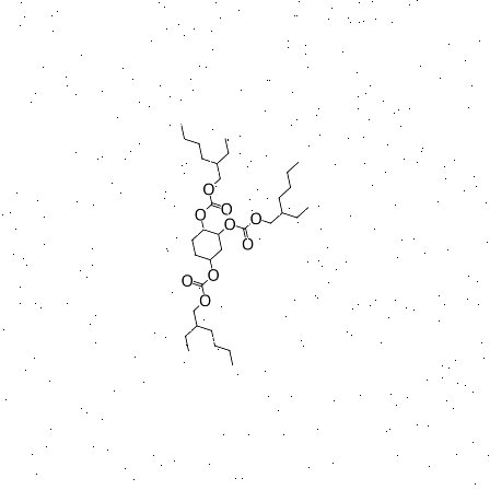 CCCCC(CC)COC(=O)OC1CCC(OC(=O)OCC(CC)CCCC)C(OC(=O)OCC(CC)CCCC)C1